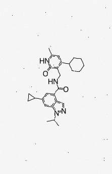 Cc1cc(C2CCCCC2)c(CNC(=O)c2cc(C3CC3)cc3c2cnn3C(C)C)c(=O)[nH]1